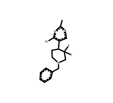 CC(=O)c1nc(C)ncc1C1CCN(Cc2ccccc2)CC1(F)F